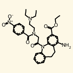 CCOC(=O)c1cc(N)c2c(c1)N(C(=O)CN(CCN(CC)CC)C(=O)c1ccc([N+](=O)[O-])cc1)c1ccccc1CC2